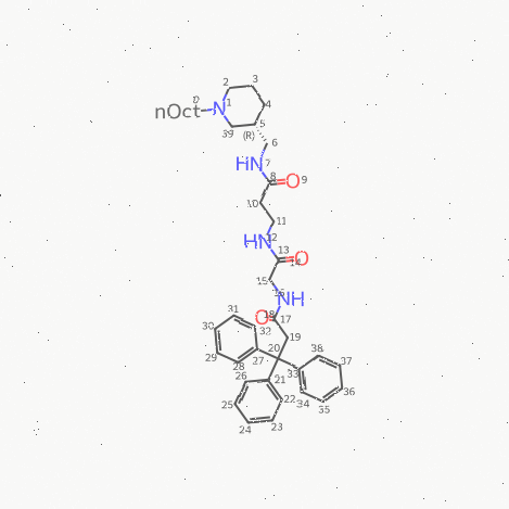 CCCCCCCCN1CCC[C@H](CNC(=O)CCNC(=O)CNC(=O)CC(c2ccccc2)(c2ccccc2)c2ccccc2)C1